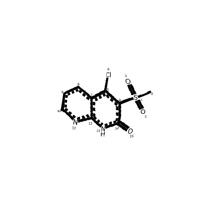 CS(=O)(=O)c1c(Cl)c2cccnc2[nH]c1=O